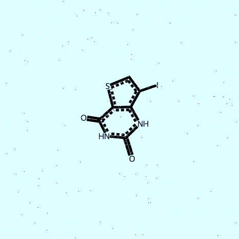 O=c1[nH]c(=O)c2scc(I)c2[nH]1